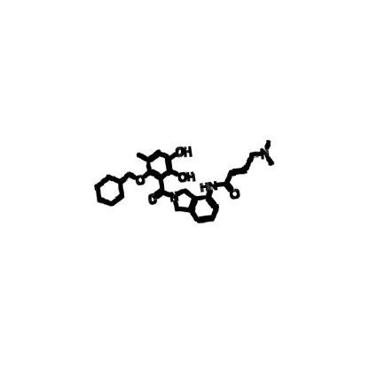 Cc1cc(O)c(O)c(C(=O)N2Cc3cccc(NC(=O)/C=C/CN(C)C)c3C2)c1OCC1CCCCC1